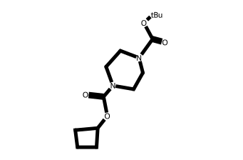 CC(C)(C)OC(=O)N1CCN(C(=O)OC2CCC2)CC1